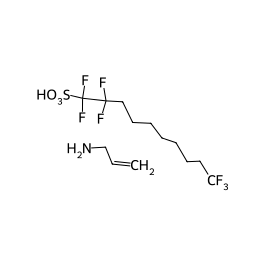 C=CCN.O=S(=O)(O)C(F)(F)C(F)(F)CCCCCCCC(F)(F)F